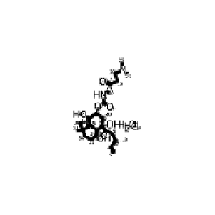 C=C[C@@H](C)CC(=O)[C@]1(O)[C@@H](C)[C@H](OC(=O)NOC(=O)CCN(C)C)[C@H](O)[C@H]2C(C)(C)CC[C@@H](O)[C@@]21C.Cl.O